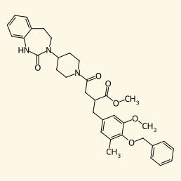 COC(=O)C(CC(=O)N1CCC(N2CCc3ccccc3NC2=O)CC1)Cc1cc(C)c(OCc2ccccc2)c(OC)c1